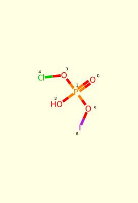 O=P(O)(OCl)OI